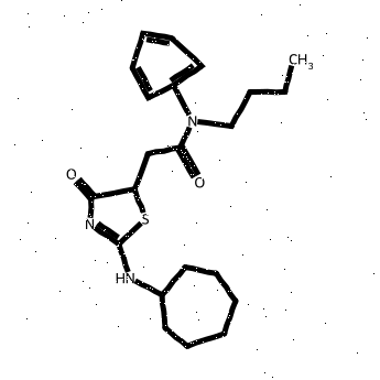 CCCCN(C(=O)CC1SC(NC2CCCCCC2)=NC1=O)c1ccccc1